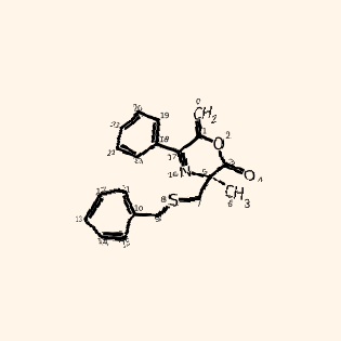 C=C1OC(=O)[C@](C)(CSCc2ccccc2)N=C1c1ccccc1